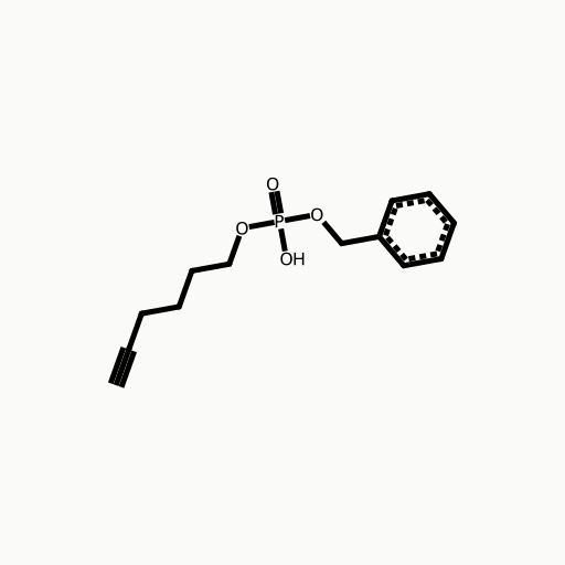 C#CCCCCOP(=O)(O)OCc1ccccc1